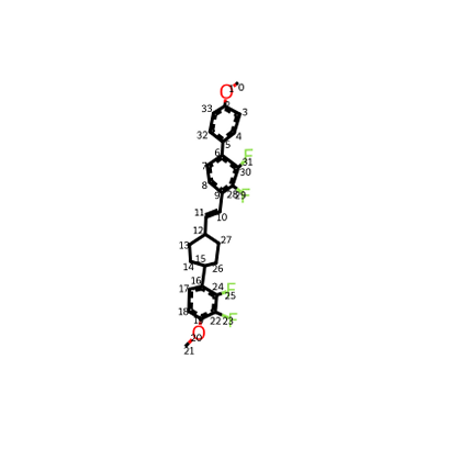 COc1ccc(-c2ccc(/C=C/C3CCC(c4ccc(OC)c(F)c4F)CC3)c(F)c2F)cc1